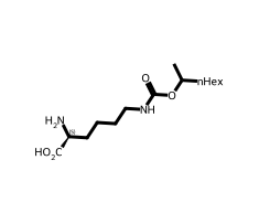 CCCCCCC(C)OC(=O)NCCCC[C@H](N)C(=O)O